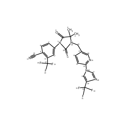 CC1(C)C(=O)N(c2ccc(C#N)c(C(F)(F)F)c2)C(=S)N1Cc1ccc(-n2cnc(C(F)(F)F)c2)nc1